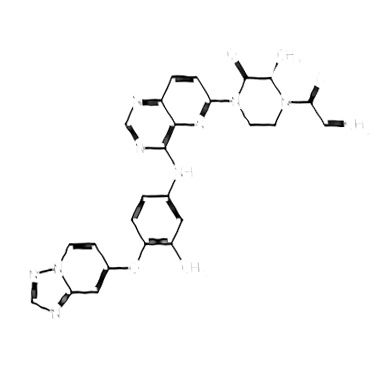 C=CC(=O)N1CCN(c2ccc3ncnc(Nc4ccc(Oc5ccn6ncnc6c5)c(C)c4)c3n2)C(=O)[C@H]1C